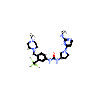 CNc1nccc(N2CCC(NC(=O)Nc3ccc(CN4CCN(C)CC4)c(C(F)(F)F)c3)C2)n1